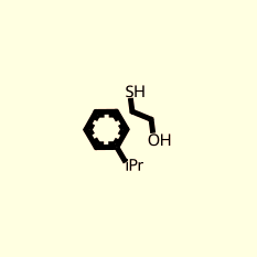 CC(C)c1ccccc1.OCCS